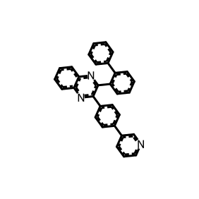 c1ccc(-c2ccccc2-c2nc3ccccc3nc2-c2ccc(-c3cccnc3)cc2)cc1